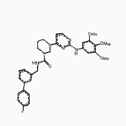 COc1cc(Nc2nccc(N3CCC[C@H](C(=O)NCc4cccc(-c5ccc(F)cc5)c4)C3)n2)cc(OC)c1OC